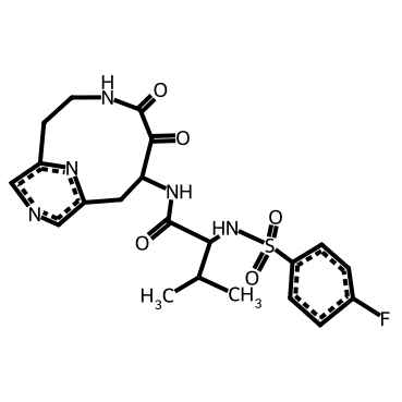 CC(C)C(NS(=O)(=O)c1ccc(F)cc1)C(=O)NC1Cc2cncc(n2)CCNC(=O)C1=O